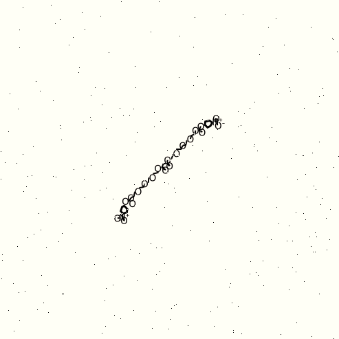 O=C(CC(=O)OCCOCCOCCOCCOC(=O)Oc1ccc([N+](=O)[O-])cc1)OCCOCCOCCOCCOC(=O)Oc1ccc([N+](=O)[O-])cc1